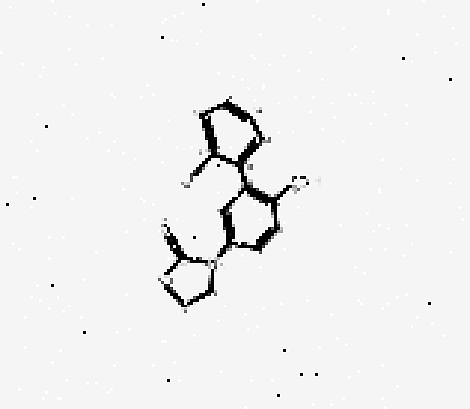 O=C1NCCN1c1ccc(S(=O)(=O)O)c(-c2ccccc2I)c1